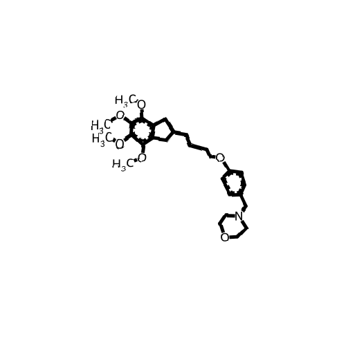 COc1c2c(c(OC)c(OC)c1OC)CC(CCCCOc1ccc(CN3CCOCC3)cc1)C2